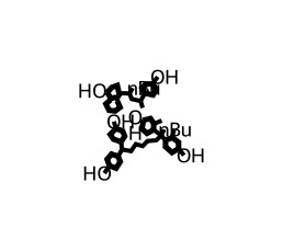 CCCCC(CC(C)c1ccc(O)cc1)c1ccc(O)c2ccccc12.CCCCC(CCCCCC(c1ccc(O)cc1)c1ccc(O)cc1)(c1ccc(O)cc1C)c1ccc(O)cc1C